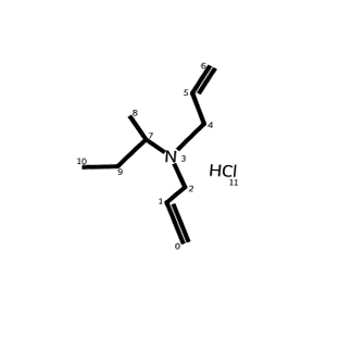 C=CCN(CC=C)C(C)CC.Cl